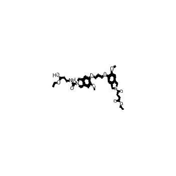 CCOC(=O)CCC(=O)N1Cc2cc(OC)c(OCCCOc3cc4c(cc3OC)CN(C(=O)NCCC(O)OCC)C4)cc2C1